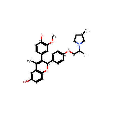 COc1cc(C2=C(C)c3cc(O)ccc3OC2c2ccc(OCC(C)N3CCC(C)C3)cc2)ccc1O